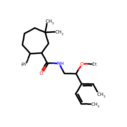 C/C=C\C(=C/C)C(CNC(=O)C1CC(C)(C)CCCC1C(C)C)OCC